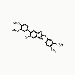 COc1ccc(-c2nc3nc(Oc4ccc(C)c(C(=O)O)c4)[nH]c3cc2Cl)cc1OC